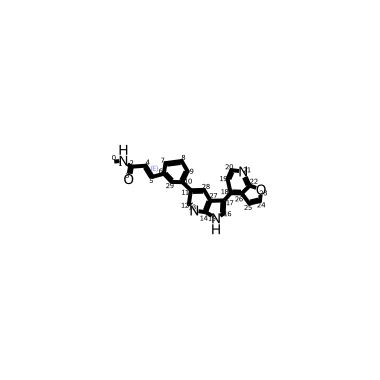 CNC(=O)/C=C/c1cccc(-c2cnc3[nH]cc(-c4ccnc5occc45)c3c2)c1